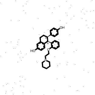 Oc1ccc([C@@H]2CCc3cc(O)ccc3[C@@H]2c2ccccc2OCCN2CCCCC2)cc1